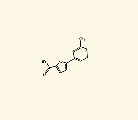 CC(C)C(=O)c1ccc(-c2cccc(C(F)(F)F)c2)o1